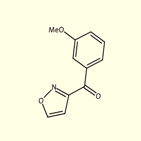 COc1cccc(C(=O)c2ccon2)c1